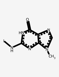 Cn1cnc2c(=O)[nH]c(NI)nc21